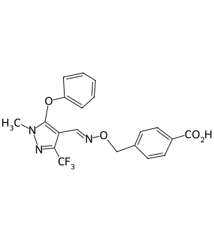 Cn1nc(C(F)(F)F)c(C=NOCc2ccc(C(=O)O)cc2)c1Oc1ccccc1